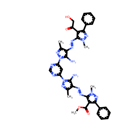 COC(=O)c1c(-c2ccccc2)nn(C)c1/N=N/c1c(C)nn(-c2cc(-n3nc(C)c(/N=N/c4c(C(=O)CO)c(-c5ccccc5)nn4C)c3N)ncn2)c1N